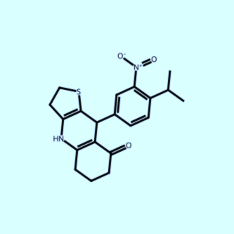 CC(C)c1ccc(C2C3=C(CCS3)NC3=C2C(=O)CCC3)cc1[N+](=O)[O-]